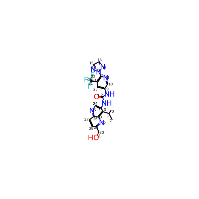 CC(C)c1c(NC(=O)Nc2cnc(-n3nccn3)c(C(F)(F)F)c2)cnc2ccc(CO)nc12